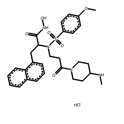 CNC1CCN(C(=O)CCN(C(Cc2cccc3ccccc23)C(=O)NO)S(=O)(=O)c2ccc(OC)cc2)CC1.Cl